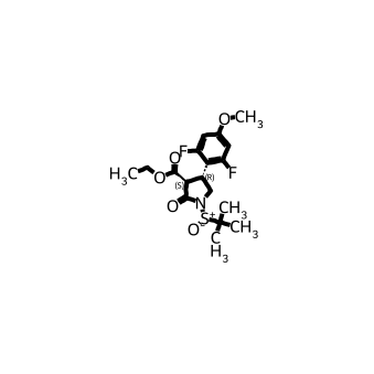 CCOC(=O)[C@@H]1C(=O)N([S+]([O-])C(C)(C)C)C[C@H]1c1c(F)cc(OC)cc1F